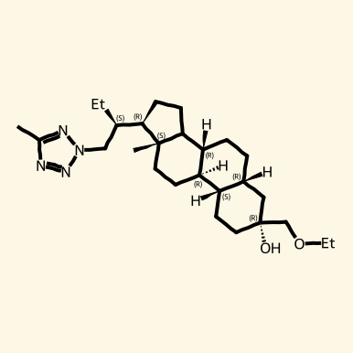 CCOC[C@@]1(O)CC[C@H]2[C@H](CC[C@H]3C4CC[C@H]([C@H](CC)Cn5nnc(C)n5)[C@@]4(C)CC[C@H]23)C1